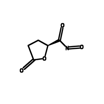 O=NC(=O)[C@@H]1CCC(=O)O1